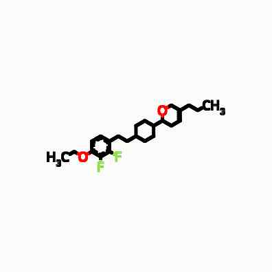 CCCC1=CCC(C2CCC(CCc3ccc(OCC)c(F)c3F)CC2)OC1